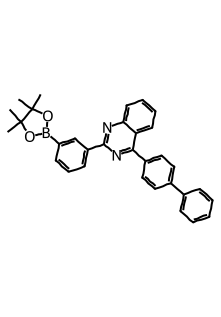 CC1(C)OB(c2cccc(-c3nc(-c4ccc(-c5ccccc5)cc4)c4ccccc4n3)c2)OC1(C)C